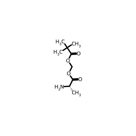 C[C@H](N)C(=O)OCOC(=O)C(C)(C)C